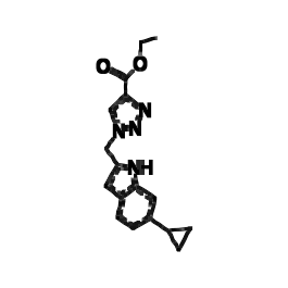 CCOC(=O)c1cn(Cc2cc3ccc(C4CC4)cc3[nH]2)nn1